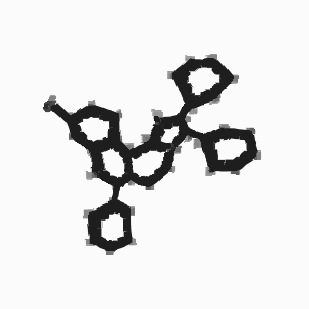 Clc1ccc2c(c1)nc(-c1ccccc1)c1ccn3c(-c4ccccc4)c(-c4ccccc4)nc3c12